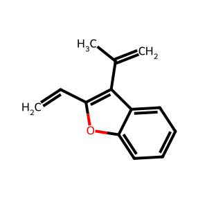 C=Cc1oc2ccccc2c1C(=C)C